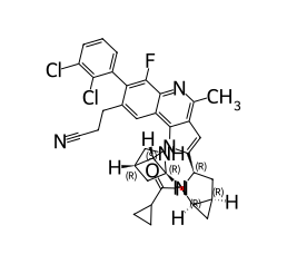 Cc1nc2c(F)c(-c3cccc(Cl)c3Cl)c(CCC#N)cc2c2c1cc([C@H]1C[C@H]3C[C@H]3N1C(=O)C1CC1)n2[C@H]1[C@H]2CN[C@@H]1C2